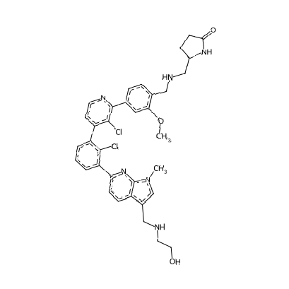 COc1cc(-c2nccc(-c3cccc(-c4ccc5c(CNCCO)cn(C)c5n4)c3Cl)c2Cl)ccc1CNCC1CCC(=O)N1